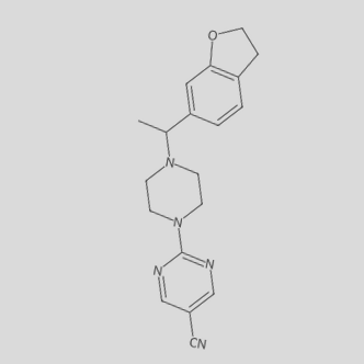 CC(c1ccc2c(c1)OCC2)N1CCN(c2ncc(C#N)cn2)CC1